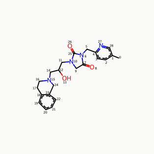 Cc1ccc(CN2C(=O)CN(CC(O)CN3CCc4ccccc4C3)C2=O)nc1